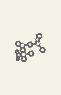 c1ccc(-c2nc(-c3ccc(-c4nc5ccccc5c5cc6c(cc45)N(c4ccccc4)c4ccccc4C64c5ccccc5-c5ccccc54)cc3)c3sc4ccccc4c3n2)cc1